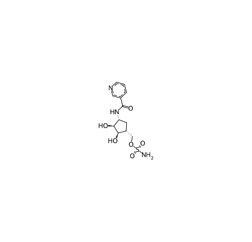 NS(=O)(=O)OC[C@H]1C[C@@H](NC(=O)c2cccnc2)[C@H](O)[C@@H]1O